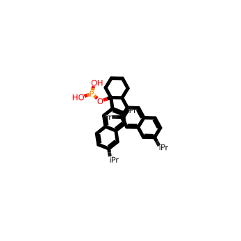 CC(C)c1ccc2cc(C3CCCCC3(OP(O)O)c3cc4ccc(C(C)C)cc4cc3C(C)C)c(C(C)C)cc2c1